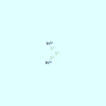 [In+3].[In+3].[S-2].[S-2].[S-2]